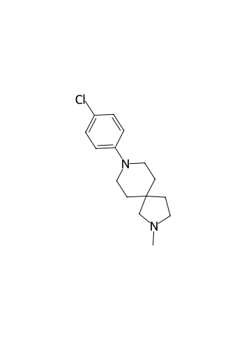 CN1CCC2(CCN(c3ccc(Cl)cc3)CC2)C1